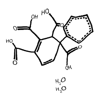 O.O.O=C(O)C1=C(C(=O)O)C(C(=O)O)C(C(=O)O)(c2ccccc2)C=C1